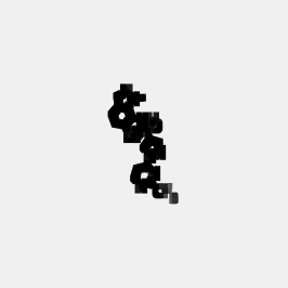 CCc1ccc2cnn(C)c2c1NS(=O)(=O)c1cnn(-c2ccnc(C(F)(F)F)n2)c1